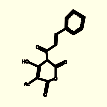 CC(=O)C1=C(O)C(C(=O)C=Cc2ccccc2)C(=O)OC1=O